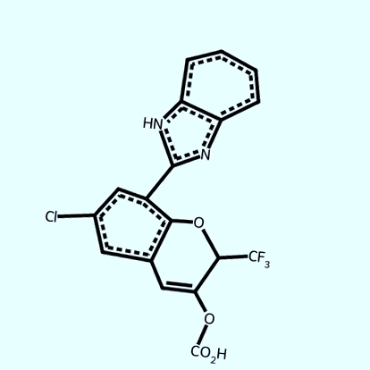 O=C(O)OC1=Cc2cc(Cl)cc(-c3nc4ccccc4[nH]3)c2OC1C(F)(F)F